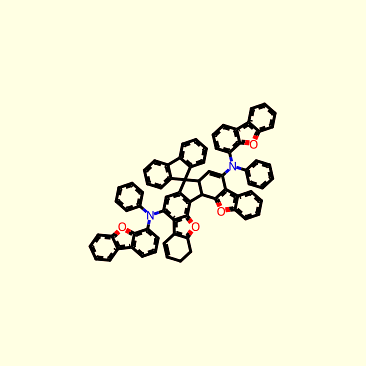 C1=Cc2c(oc3c4c(cc(N(c5ccccc5)c5cccc6c5oc5ccccc56)c23)C2(c3ccccc3-c3ccccc32)C2C=C(N(c3ccccc3)c3cccc5c3oc3ccccc35)c3c(oc5ccccc35)C42)CC1